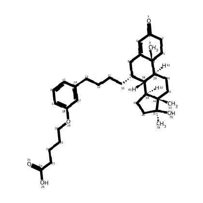 C[C@]12CCC(=O)C=C1C[C@@H](CCCCc1cccc(OCCCCC(=O)O)c1)[C@@H]1[C@@H]2CC[C@@]2(C)[C@H]1CC[C@]2(C)O